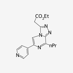 CCCc1nc(-c2ccncc2)cn2c(CC(=O)OCC)nnc12